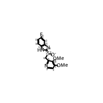 COc1ccnc(C[S+]([O-])c2nc3cc(F)ccc3[nH]2)c1OC